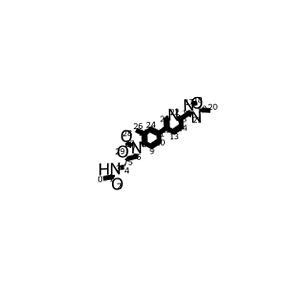 CC(=O)NC[C@H]1CN(c2ccc(-c3ccc(-c4noc(C)n4)nc3)cc2C)C(=O)O1